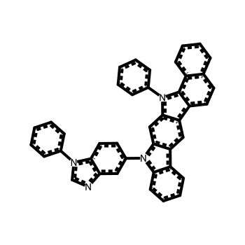 c1ccc(-n2cnc3cc(-n4c5ccccc5c5cc6c7ccc8ccccc8c7n(-c7ccccc7)c6cc54)ccc32)cc1